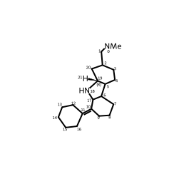 CNCC1CCC2C3CCCC(=C4CCCCC4)C3N[C@@H]2C1